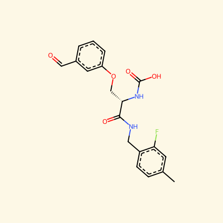 Cc1ccc(CNC(=O)[C@H](COc2cccc(C=O)c2)NC(=O)O)c(F)c1